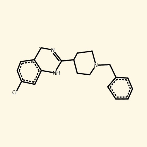 Clc1ccc2c(c1)NC(C1CCN(Cc3ccccc3)CC1)=N[CH]2